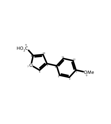 COc1ccc(-c2coc(C(=O)O)c2)cc1